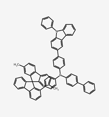 Cc1ccc2c(c1)C1(c3cc(C)ccc3-2)c2ccccc2-c2cccc(-c3ccc(N(c4ccc(-c5ccccc5)cc4)c4ccc(-c5ccc6c(c5)c5ccccc5n6-c5ccccc5)cc4)cc3)c21